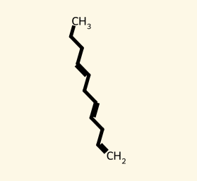 C=CCC=CCC=CCCC